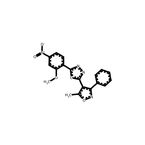 COc1cc([N+](=O)[O-])ccc1-c1nnc(-c2c(-c3ccccc3)noc2C)o1